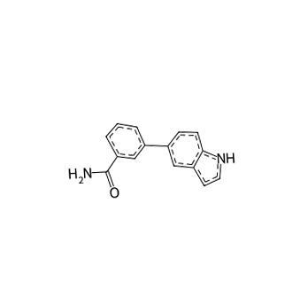 NC(=O)c1cccc(-c2ccc3[nH]ccc3c2)c1